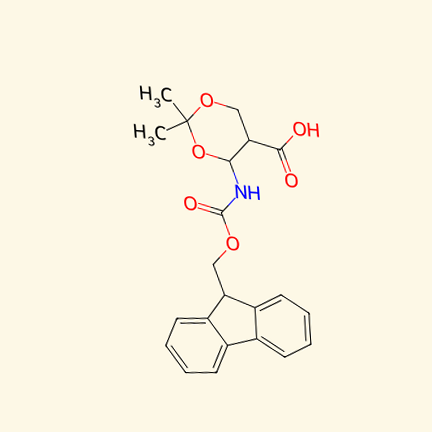 CC1(C)OCC(C(=O)O)C(NC(=O)OCC2c3ccccc3-c3ccccc32)O1